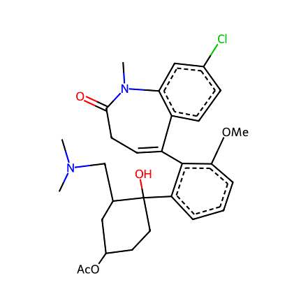 COc1cccc(C2(O)CCC(OC(C)=O)CC2CN(C)C)c1C1=CCC(=O)N(C)c2cc(Cl)ccc21